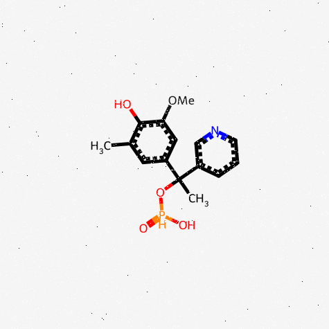 COc1cc(C(C)(O[PH](=O)O)c2cccnc2)cc(C)c1O